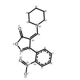 O=C1ON=C(c2ccccc2[N+](=O)[O-])/C1=C/N1CCCCC1